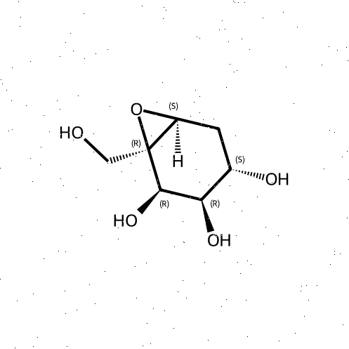 OC[C@]12O[C@H]1C[C@H](O)[C@@H](O)[C@H]2O